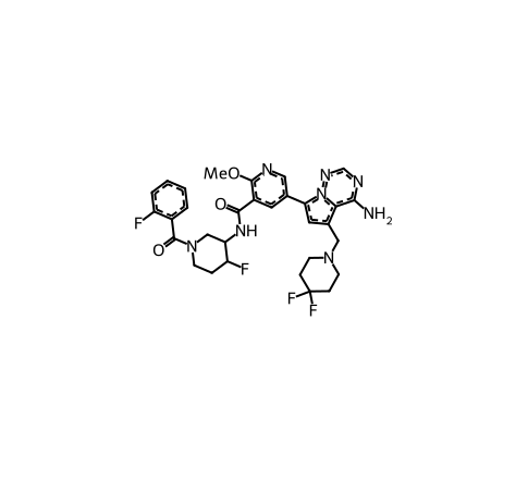 COc1ncc(-c2cc(CN3CCC(F)(F)CC3)c3c(N)ncnn23)cc1C(=O)NC1CN(C(=O)c2ccccc2F)CCC1F